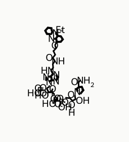 CC[n+]1c2ccccc2nc2c(OCCCC(=O)NCCNc3ncnc4c3ncn4C3OC(COP(=O)(O)OP(=O)(O)OCC4OC([n+]5cccc(C(N)=O)c5)C(O)C4O)C(O)C3OP(=O)(O)O)cccc21